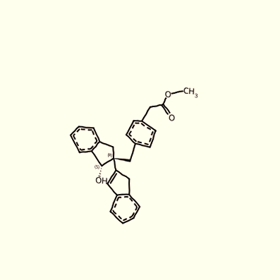 COC(=O)Cc1ccc(C[C@]2(C3=Cc4ccccc4C3)Cc3ccccc3[C@H]2O)cc1